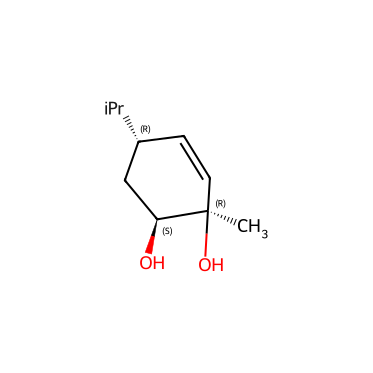 CC(C)[C@@H]1C=C[C@@](C)(O)[C@@H](O)C1